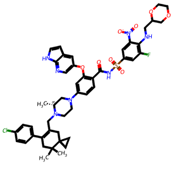 C[C@@H]1CN(c2ccc(C(=O)NS(=O)(=O)c3cc(F)c(NCC4COCCO4)c([N+](=O)[O-])c3)c(Oc3cnc4[nH]ccc4c3)c2)CCN1CC1=C(c2ccc(Cl)cc2)CC(C)(C)C2(CC2)C1